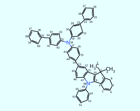 CC1(C)C2=C(C=CCC2)c2c1c1cc(-c3ccc(N(c4ccc(-c5ccccc5)cc4)c4ccc(-c5ccccc5)cc4)cc3)ccc1n2-c1ccccc1